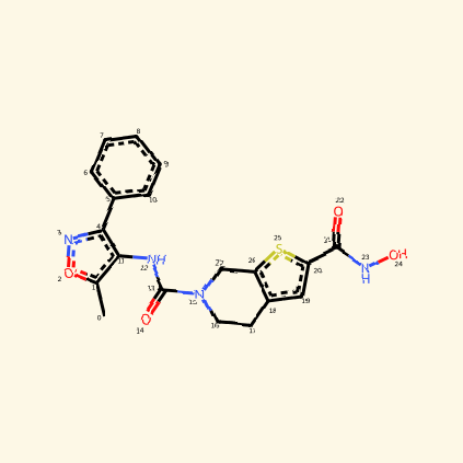 Cc1onc(-c2ccccc2)c1NC(=O)N1CCc2cc(C(=O)NO)sc2C1